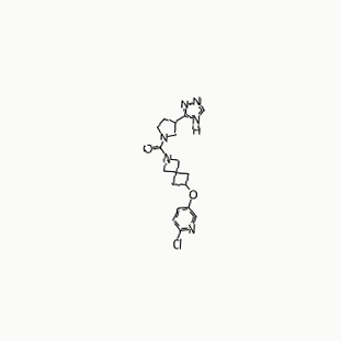 O=C(N1CCC(c2nnc[nH]2)C1)N1CC2(CC(Oc3ccc(Cl)nc3)C2)C1